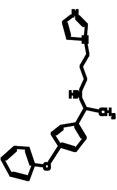 CC(NCCCn1ccnc1)c1ccc(Oc2ccccc2)cc1